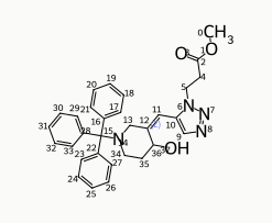 COC(=O)CCn1nncc1/C=C1/CN(C(c2ccccc2)(c2ccccc2)c2ccccc2)CCC1O